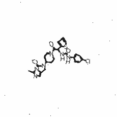 Cc1ncc2n1C(=O)N(C1CCN(C(=O)C(NC(=O)Nc3ccc(Cl)cc3)c3cccs3)CC1)C2